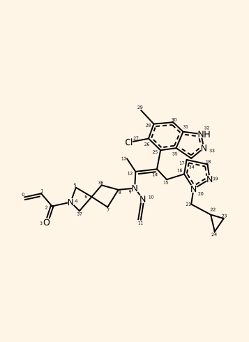 C=CC(=O)N1CC2(CC(N(N=C)/C(C)=C(\Cc3ccnn3CC3CC3)c3c(Cl)c(C)cc4[nH]ncc34)C2)C1